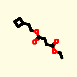 CCOC(=O)CCC(=O)OCCC1CCC1